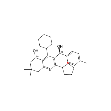 Cc1ccc([C@H](O)c2c(C3CCCC3)nc3c(c2C2CCCCC2)[C@@H](O)CC(C)(C)C3)cc1